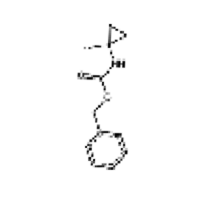 [CH2]C1(NC(=O)OCc2ccccc2)CC1